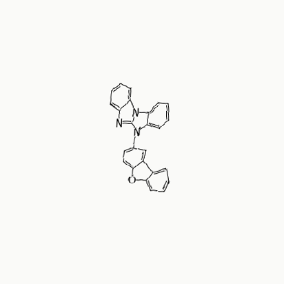 c1ccc2c(c1)nc1n(-c3ccc4oc5ccccc5c4c3)c3ccccc3n21